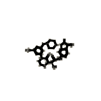 Cc1cc(CN2CCOCC2)cc(N2CCO[C@H]([C@@H](O)C(=O)Nc3ccc4c(c3)CNC4=N)C2=O)c1